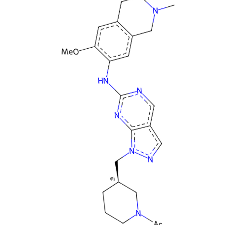 COc1cc2c(cc1Nc1ncc3cnn(C[C@@H]4CCCN(C(C)=O)C4)c3n1)CN(C)CC2